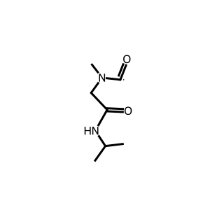 CC(C)NC(=O)CN(C)[C]=O